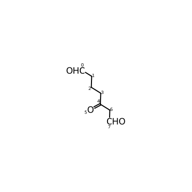 O=CCCCC(=O)CC=O